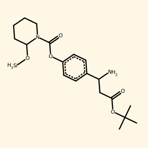 CC(C)(C)OC(=O)CC(N)c1ccc(OC(=O)N2CCCCC2O[SiH3])cc1